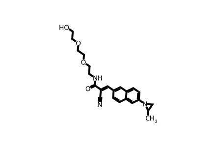 CC1CN1c1ccc2cc(/C=C(\C#N)C(=O)NCCOCCOCCO)ccc2c1